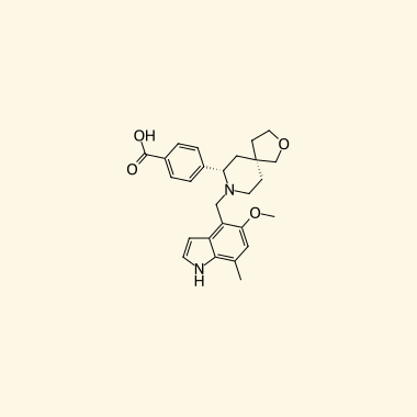 COc1cc(C)c2[nH]ccc2c1CN1CC[C@@]2(CCOC2)C[C@H]1c1ccc(C(=O)O)cc1